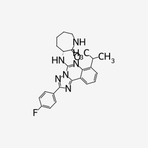 CC(C)c1cccc2c1nc(N[C@@H]1CCCCNC1=O)n1nc(-c3ccc(F)cc3)nc21